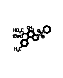 Cc1ccc(-c2c3c(cc(C)c2[C@H](OC(C)(C)C)C(=O)O)N(S(=O)(=O)N2CCCCC2)CC3)cc1